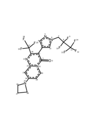 O=c1c(-c2cnn(CC(F)(F)C(F)(F)F)c2)c(C(F)(F)F)nc2cc(N3CCC3)ccn12